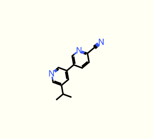 CC(C)c1cncc(-c2ccc(C#N)nc2)c1